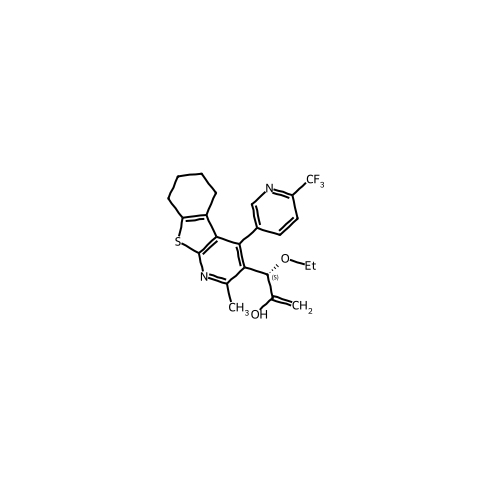 C=C(O)[C@@H](OCC)c1c(C)nc2sc3c(c2c1-c1ccc(C(F)(F)F)nc1)CCCC3